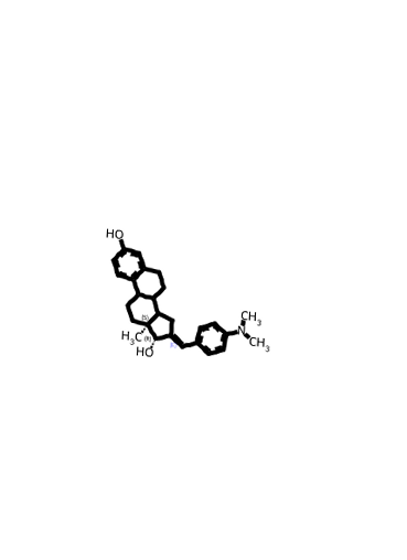 CN(C)c1ccc(/C=C2\CC3C4CCc5cc(O)ccc5C4CC[C@]3(C)[C@H]2O)cc1